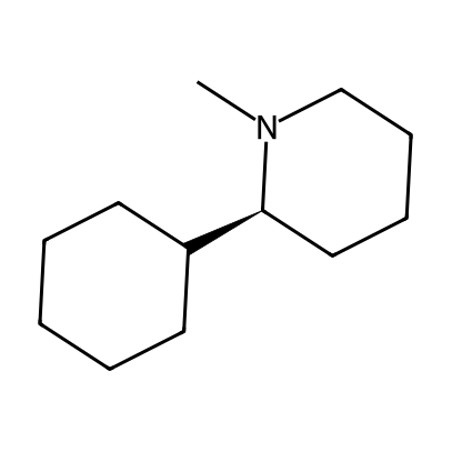 CN1CCCC[C@H]1C1CCCCC1